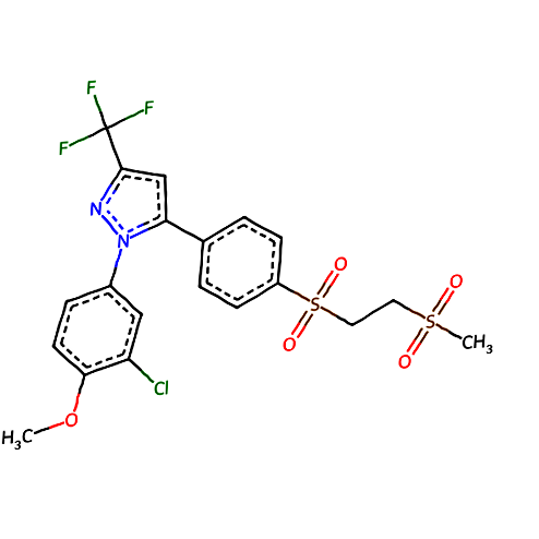 COc1ccc(-n2nc(C(F)(F)F)cc2-c2ccc(S(=O)(=O)CCS(C)(=O)=O)cc2)cc1Cl